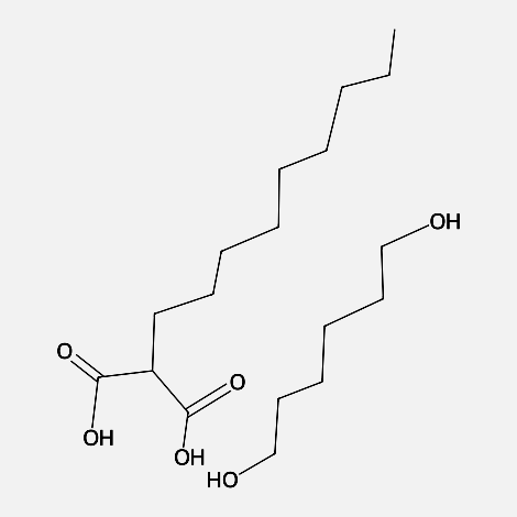 CCCCCCCCCC(C(=O)O)C(=O)O.OCCCCCCO